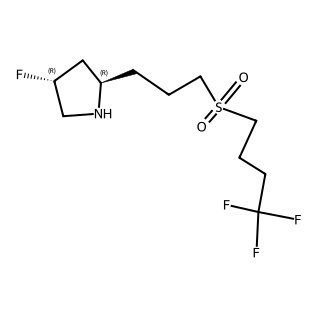 O=S(=O)(CCC[C@@H]1C[C@@H](F)CN1)CCCC(F)(F)F